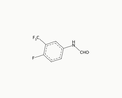 O=[C]Nc1ccc(F)c(C(F)(F)F)c1